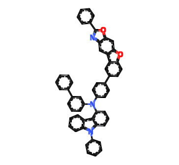 c1ccc(-c2cccc(N(c3ccc(-c4ccc5oc6cc7oc(-c8ccccc8)nc7cc6c5c4)cc3)c3cccc4c3c3ccccc3n4-c3ccccc3)c2)cc1